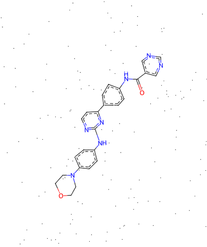 O=C(Nc1ccc(-c2ccnc(Nc3ccc(N4CCOCC4)cc3)n2)cc1)c1cncnc1